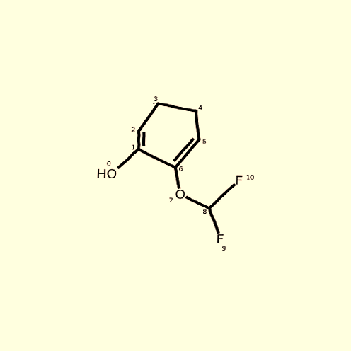 OC1=C[CH]CC=C1OC(F)F